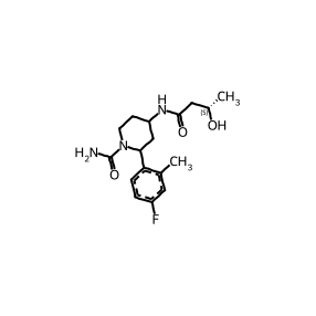 Cc1cc(F)ccc1C1CC(NC(=O)C[C@H](C)O)CCN1C(N)=O